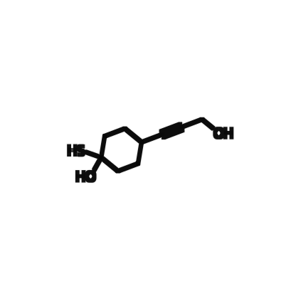 OCC#CC1CCC(O)(S)CC1